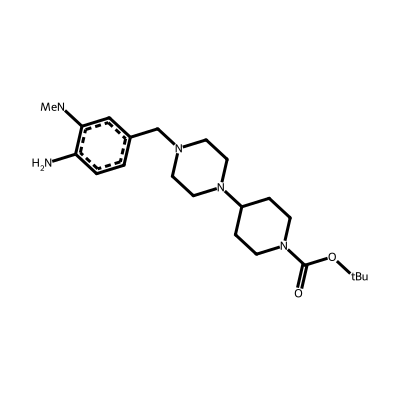 CNc1cc(CN2CCN(C3CCN(C(=O)OC(C)(C)C)CC3)CC2)ccc1N